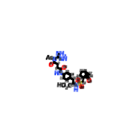 CC(=O)N(C(=N)N)C(=O)CCC(=O)Nc1ccc(C[C@H](NS(=O)(=O)C[C@]23CCC(CC2=O)C3(C)C)C(=O)O)cc1